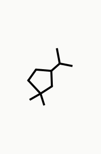 CC(C)C1CCC(C)(C)C1